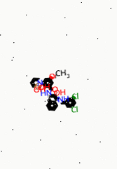 CCOc1cc(C(=O)N[C@@H](Cc2ccccc2)[C@H](O)CNCc2cc(Cl)cc(Cl)c2)cc(N2CCCCS2(O)O)c1